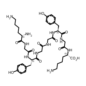 NCCCC[C@H](NC(=O)CNC(=O)[C@H](Cc1ccc(O)cc1)NC(=O)CNC(=O)CNC(=O)[C@H](Cc1ccc(O)cc1)NC(=O)CNC(=O)[C@@H](N)CCCCN)C(=O)O